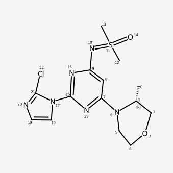 C[C@@H]1COCCN1c1cc(N=S(C)(C)=O)nc(-n2ccnc2Cl)n1